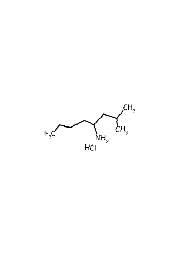 CCCCC(N)CC(C)C.Cl